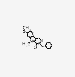 CSc1ccc2c3cnn(Cc4ccccc4)c(=O)c3n(C)c2c1